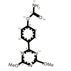 COc1nc(OC)nc(-c2ccc(OC(N)=O)cc2)n1